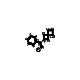 O=C[C@H](c1ccccc1)C1CC2(CCC2)C1